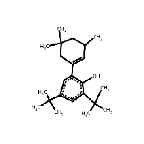 CC1C=C(c2cc(C(C)(C)C)cc(C(C)(C)C)c2O)CC(C)(C)C1